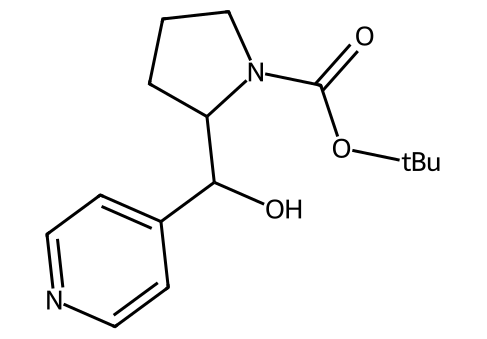 CC(C)(C)OC(=O)N1CCCC1C(O)c1ccncc1